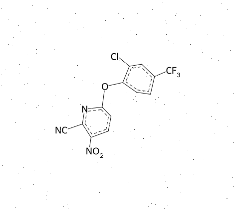 N#Cc1nc(Oc2ccc(C(F)(F)F)cc2Cl)ccc1[N+](=O)[O-]